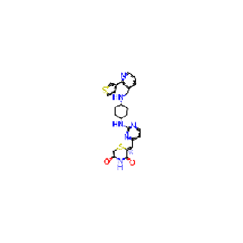 O=C1CS/C(=C\c2ccnc(N[C@H]3CC[C@H](NCc4cccnc4-c4ccsc4)CC3)n2)C(=O)N1